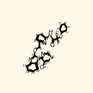 O=C(Nc1cccc(COc2nc3ccccc3n2-c2ncncc2Cl)n1)C(F)(F)Oc1ccccc1